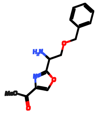 COC(=O)c1coc(C(N)COCc2ccccc2)n1